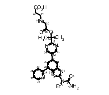 CCN(C(N)=O)c1nc2cc(-c3cnc(C(C)(C)OC(=O)CNCCC(=O)O)nc3)cc(-c3ccccn3)c2s1